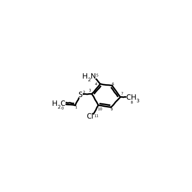 C=CSc1c(N)cc(C)cc1Cl